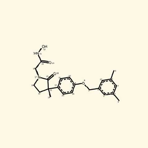 Cc1cc(C)cc(COc2ccc(C3(C)CCN(CC(=O)NO)C3=O)cc2)c1